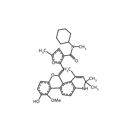 COc1c(O)ccc2c1-c1ccc3c(c1/C(=C/c1oc(C)cc1C(=O)N(C)C1CCCCC1)O2)C(C)=CC(C)(C)N3